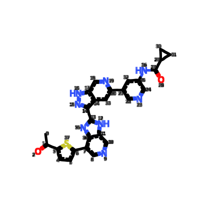 CC(=O)c1ccc(-c2cncc3[nH]c(-c4n[nH]c5cnc(-c6cncc(NC(=O)C7CC7)c6)cc45)nc23)s1